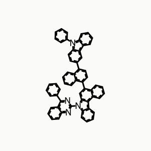 c1ccc(-c2nc(-n3c4ccccc4c4c5ccccc5c(-c5ccc(-c6ccc7c(c6)c6ccccc6n7-c6ccccc6)c6ccccc56)cc43)nc3ccccc23)cc1